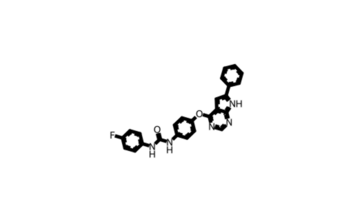 O=C(Nc1ccc(F)cc1)Nc1ccc(Oc2ncnc3[nH]c(-c4ccccc4)cc23)cc1